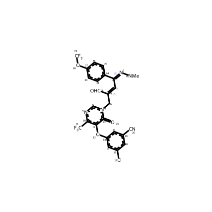 CN/N=C(\C=C(/C=O)Cn1cnc(C(F)(F)F)c(Oc2cc(Cl)cc(C#N)c2)c1=O)c1ccc(OC(F)(F)F)cc1